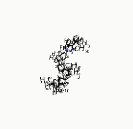 CC/C=C(/C=C(/C)C(C(=O)OC)=C(C)C)N1CCN(C(=O)c2ccc3c(n2)C(C)(C)CN3c2ccc(C(=O)N(CCCCC)C(C)(C)CC)cn2)C(C)(C)C1